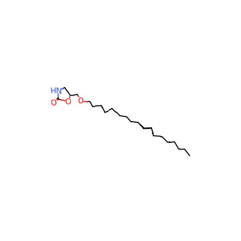 CCCCCCCCCCCCCCCCCCOCC1CNC(=O)O1